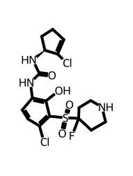 O=C(Nc1ccc(Cl)c(S(=O)(=O)C2(F)CCNCC2)c1O)N[C@H]1CCC=C1Cl